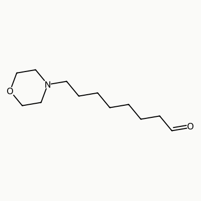 O=CCCCCCCCN1CCOCC1